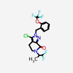 CC(C(F)F)N1CCc2c(nn(Cc3ccccc3OC(F)(F)F)c2Cl)C1=O